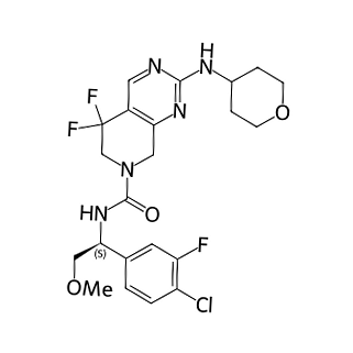 COC[C@@H](NC(=O)N1Cc2nc(NC3CCOCC3)ncc2C(F)(F)C1)c1ccc(Cl)c(F)c1